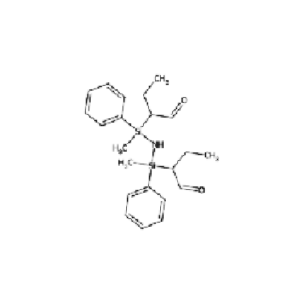 CCC(C=O)[Si](C)(N[Si](C)(c1ccccc1)C(C=O)CC)c1ccccc1